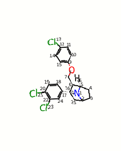 CN1C2CC[C@@H]1[C@H](COc1ccc(Cl)cc1)[C@@H](c1ccc(Cl)c(Cl)c1)C2